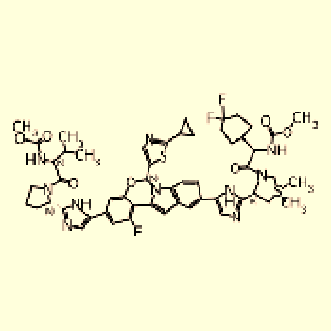 COC(=O)NC(C(=O)N1CS(C)(C)C[C@H]1c1ncc(-c2ccc3c(c2)cc2n3[C@H](c3cnc(C4CC4)s3)Oc3cc(-c4cnc([C@@H]5CCCN5C(=O)[C@@H](NC(=O)OC)C(C)C)[nH]4)cc(F)c3-2)[nH]1)C1CCC(F)(F)CC1